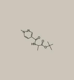 CC(NC(=O)c1cc[n+](C)nc1)C(=O)OC(C)(C)C